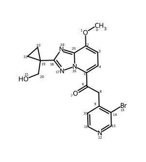 COc1ccc(C(=O)Cc2ccncc2Br)n2nc(C3(CO)CC3)nc12